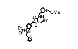 CCC(CC)n1c(Cc2cccs2)nc2cc(C(=O)N[C@@H](CC(C)C)C(=O)NCC3CCN(CCOC)C3)ccc21